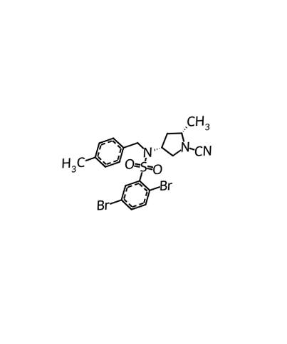 Cc1ccc(CN([C@@H]2C[C@H](C)N(C#N)C2)S(=O)(=O)c2cc(Br)ccc2Br)cc1